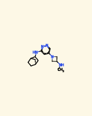 CNC1CN(c2cnnc(NC3CC4CCC3C4)c2)C1